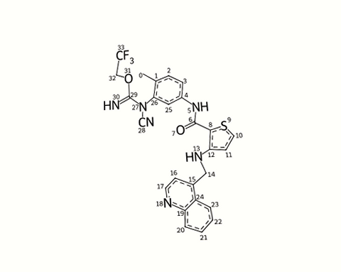 Cc1ccc(NC(=O)c2sccc2NCc2ccnc3ccccc23)cc1N(C#N)C(=N)OCC(F)(F)F